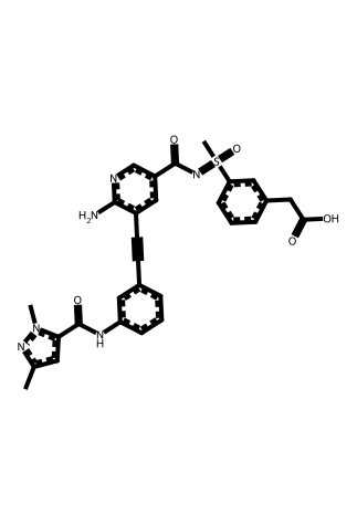 Cc1cc(C(=O)Nc2cccc(C#Cc3cc(C(=O)N=S(C)(=O)c4cccc(CC(=O)O)c4)cnc3N)c2)n(C)n1